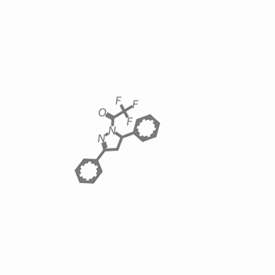 O=C(N1N=C(c2ccccc2)CC1c1ccccc1)C(F)(F)F